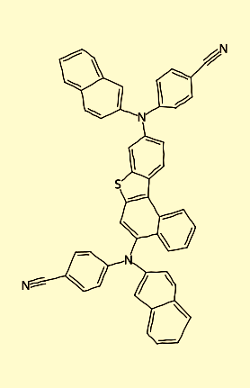 N#Cc1ccc(N(c2ccc3ccccc3c2)c2ccc3c(c2)sc2cc(N(c4ccc(C#N)cc4)c4ccc5ccccc5c4)c4ccccc4c23)cc1